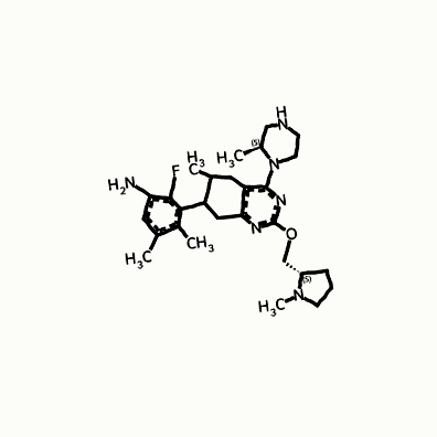 Cc1cc(N)c(F)c(C2Cc3nc(OC[C@@H]4CCCN4C)nc(N4CCNC[C@@H]4C)c3CC2C)c1C